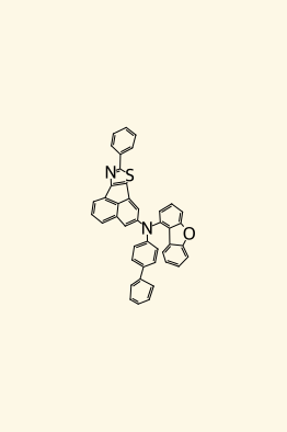 c1ccc(-c2ccc(N(c3cc4c5c(cccc5c3)-c3nc(-c5ccccc5)sc3-4)c3cccc4oc5ccccc5c34)cc2)cc1